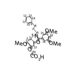 COc1cc(CN(CCCc2ccccc2)C(=O)c2cc(OC)c(C)c(OC)c2)ccc1OCC(=O)O